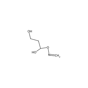 C=NOC(O)CCO